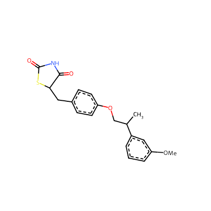 COc1cccc(C(C)COc2ccc(CC3SC(=O)NC3=O)cc2)c1